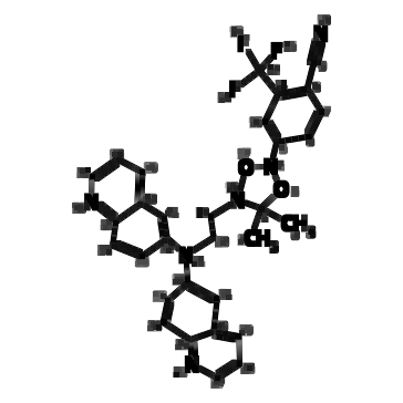 CC1(C)ON(c2ccc(C#N)c(C(F)(F)F)c2)ON1CCN(c1ccc2ncccc2c1)c1ccc2ncccc2c1